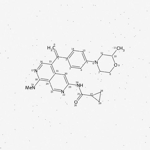 C=C(c1ccc(N2CCOC(C)C2)cc1)c1cnc(NC)c2cnc(NC(=O)C3CC3)cc12